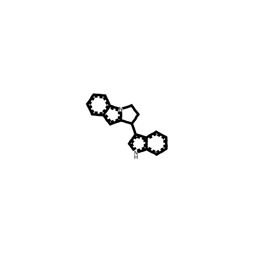 c1ccc2c(c1)cc1n2CCC1c1c[nH]c2ccccc12